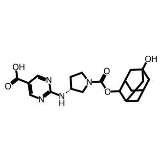 O=C(O)c1cnc(N[C@@H]2CCN(C(=O)OC3C4CC5CC3CC(O)(C5)C4)C2)nc1